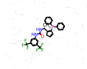 C[C@@H](NC(=O)Nc1cc(C(F)(F)F)cc(C(F)(F)F)c1)C1=C(P(c2ccccc2)c2ccccc2)C=CC1